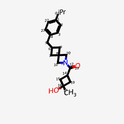 CC(C)c1ccc(CC2CC3(C2)CN(C(=O)C2CC(C)(O)C2)C3)cc1